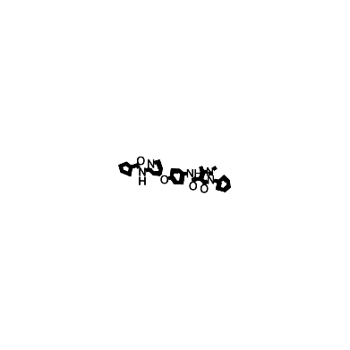 Cc1c(C(=O)Nc2ccc(Oc3ccnc(NC(=O)C4CCCC4)c3)cc2)c(=O)n(-c2ccccc2)n1C